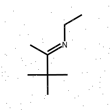 CC/N=C(\C)C(C)(C)C